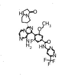 CCOc1cc(C(=O)Nc2cc(C(F)(F)F)ncn2)cc(F)c1-c1nc([C@@H]2CC[C@H]3CCC(=O)N3C2)n2ccnc(N)c12